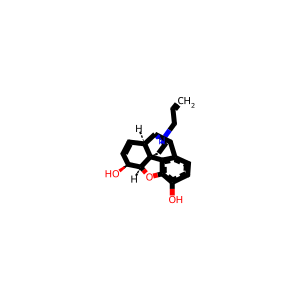 C=CCN1CC[C@]23c4c5ccc(O)c4O[C@H]2[C@@H](O)C=C[C@H]3C1C5